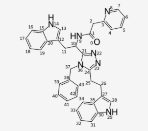 O=C(Cc1ccccn1)NC(Cc1c[nH]c2ccccc12)c1nnc(CCc2c[nH]c3ccccc23)n1Cc1ccccc1